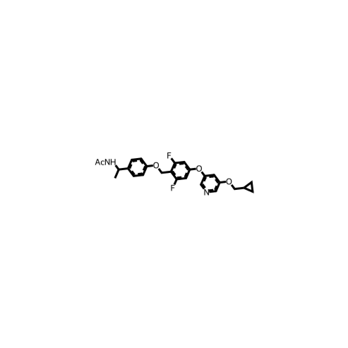 CC(=O)NC(C)c1ccc(OCc2c(F)cc(Oc3cncc(OCC4CC4)c3)cc2F)cc1